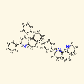 c1ccc(-c2cc(-c3ccccc3)c3c(ccc4c(-c5ccc(-c6ccc7ccc8cccnc8c7n6)cc5)cccc43)n2)cc1